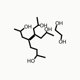 CC(O)CCC(CC(C)O)=C(CC(C)O)CC(C)O.OCCO